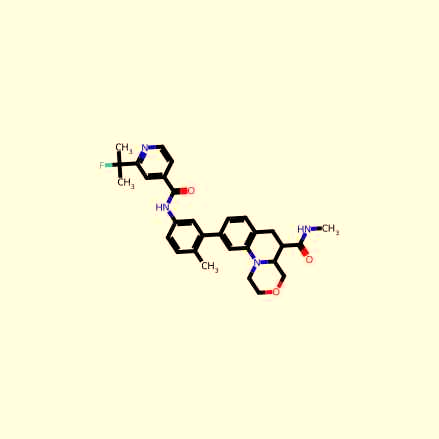 CNC(=O)C1Cc2ccc(-c3cc(NC(=O)c4ccnc(C(C)(C)F)c4)ccc3C)cc2N2CCOCC12